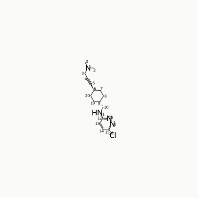 CN(C)CC#C[C@H]1CC[C@H](CNc2ccc(Cl)nn2)CC1